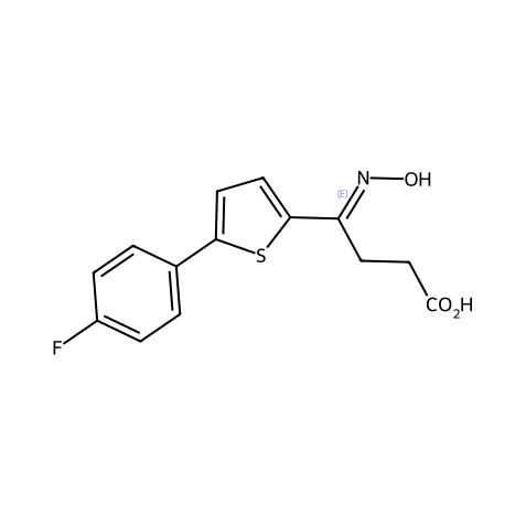 O=C(O)CC/C(=N\O)c1ccc(-c2ccc(F)cc2)s1